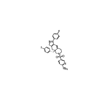 CC(C)(C)c1ccc(S(=O)(=O)N2CCC3=Cc4c(cnn4-c4ccc(F)cc4)CC3(Cc3ccc(F)cc3)C2)cn1